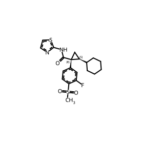 CS(=O)(=O)c1ccc([C@@]2(C(=O)Nc3nccs3)C[C@H]2C2CCCCC2)cc1F